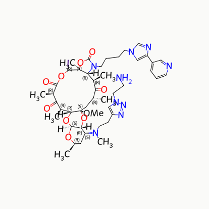 CO[C@]12C[C@@H](C)C(=O)[C@H](C)[C@H]3N(CCCCn4cnc(-c5cccnc5)c4)C(=O)O[C@]3(C)[C@@H](I)OC(=O)[C@H](C)C(=O)[C@H](C)[C@H]1O[C@@H]1O[C@H](C)C[C@H](N(C)CCc3cn(CCN)nn3)[C@H]1O2